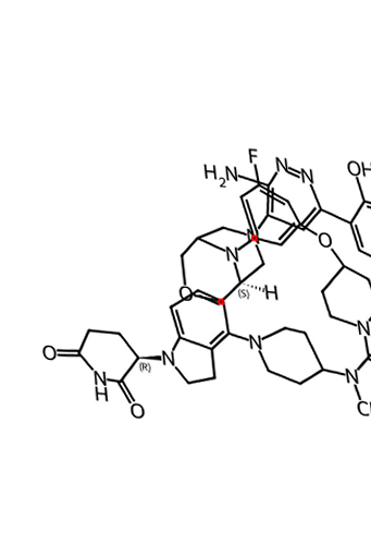 CN(C(=O)N1CCC(Oc2cc(F)cc(N3C4COC[C@@H]3CN(c3cc(-c5ccccc5O)nnc3N)C4)c2)CC1)C1CCN(c2cccc3c2CCN3[C@@H]2CCC(=O)NC2=O)CC1